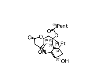 CCC[C@H](C)C(=O)O[C@@](C)(C[C@H]1C[C@@H](O)CC(=O)O1)[C@H]1CC=CC2=C[C@@H](O)C[C@H](CC)[C@@H]21